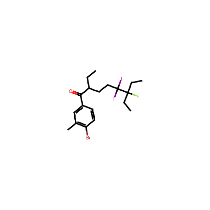 CCC(CCC(I)(I)C(F)(CC)CC)C(=O)c1ccc(Br)c(C)c1